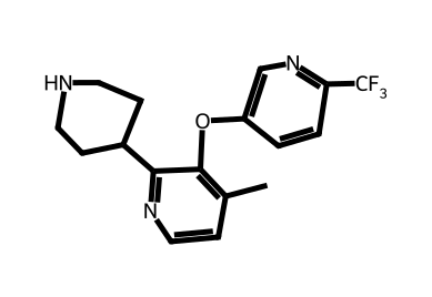 Cc1ccnc(C2CCNCC2)c1Oc1ccc(C(F)(F)F)nc1